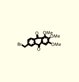 COc1cc2c(c(OC)c1OC)C(=O)c1ccc(CBr)cc1C2=O